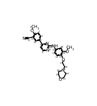 COc1ccc(-c2ccnc(Nc3ccc(OCCN4CCOCC4)c(OC)c3)n2)cc1C#N